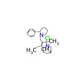 CCC(C)=C(CN1CCCCC1c1ccccc1)C(C)(Cl)N1CCCCC1